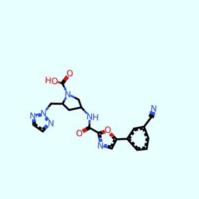 N#Cc1cccc(-c2cnc(C(=O)NC3CC(Cn4nccn4)N(C(=O)O)C3)o2)c1